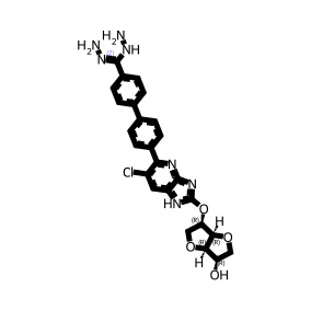 N/N=C(\NN)c1ccc(-c2ccc(-c3nc4nc(O[C@@H]5CO[C@H]6[C@@H]5OC[C@H]6O)[nH]c4cc3Cl)cc2)cc1